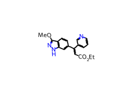 CCOC(=O)C=C(c1cccnc1)c1ccc2c(OC)n[nH]c2c1